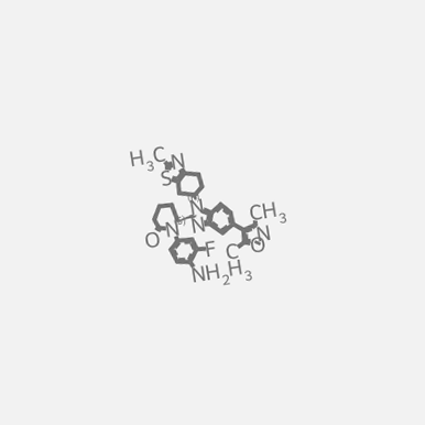 Cc1nc2c(s1)C[C@H](n1c([C@@H]3CCCC(=O)N3c3ccc(N)c(F)c3)nc3cc(-c4c(C)noc4C)ccc31)CC2